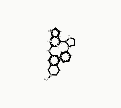 CN1CCc2ccc(Nc3nc(N4OCC[C@H]4c4ccccc4)c4cc[nH]c4n3)cc2C1